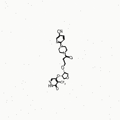 N#Cc1ccc(N2CCN(C(=O)CCO[C@@H]3COC[C@@H]3Oc3cn[nH]c(=O)c3C(F)(F)F)CC2)nc1